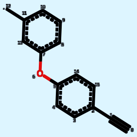 C#Cc1ccc(Oc2cccc([CH2])c2)cc1